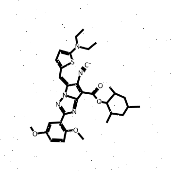 [C-]#[N+]c1c(C(=O)OC2C(C)CC(C)CC2C)c2nc(-c3cc(OC)ccc3OC)nn2/c1=C/c1ccc(N(CC)CC)s1